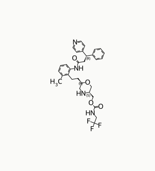 Cc1cccc(NC(=O)C[C@H](c2ccccc2)c2ccncc2)c1CC[C@@H]1CN[C@H](COC(=O)NCC(F)(F)F)CO1